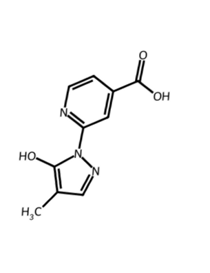 Cc1cnn(-c2cc(C(=O)O)ccn2)c1O